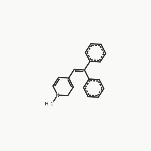 CN1C=CC(C=C(c2ccccc2)c2ccccc2)=CC1